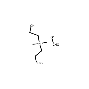 CCCCCCCC[N+](C)(C)CCO.O=C[O-]